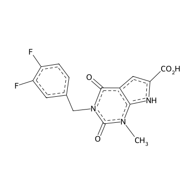 Cn1c(=O)n(Cc2ccc(F)c(F)c2)c(=O)c2cc(C(=O)O)[nH]c21